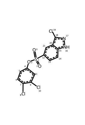 O=S(=O)(Oc1ccc(Cl)c(Cl)c1)c1ccc2[nH]nc(Cl)c2c1